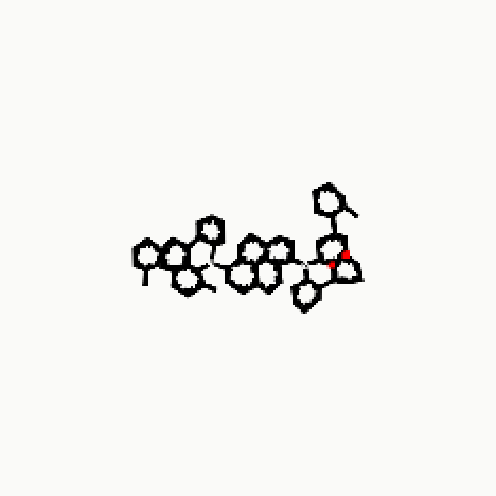 Cc1ccccc1-c1ccc(C)c(N(c2ccccc2-c2ccccc2)c2ccc3ccc4c(N(c5cc(-c6ccccc6C)ccc5C)c5ccccc5-c5ccccc5)ccc5ccc2c3c54)c1